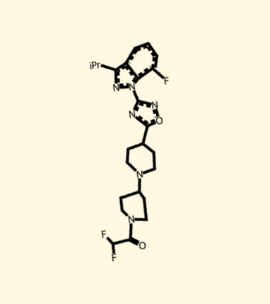 CC(C)c1nn(-c2noc(C3CCN(C4CCN(C(=O)C(F)F)CC4)CC3)n2)c2c(F)cccc12